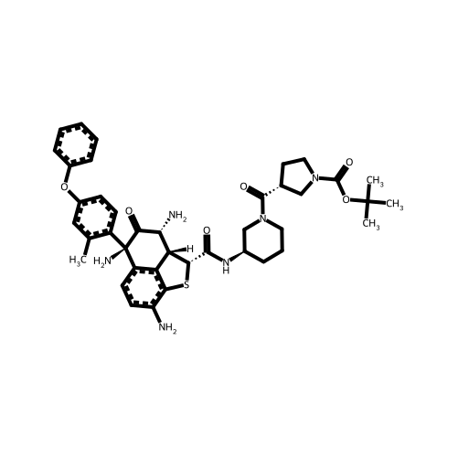 Cc1cc(Oc2ccccc2)ccc1[C@]1(N)C(=O)[C@H](N)[C@H]2c3c1ccc(N)c3S[C@H]2C(=O)N[C@@H]1CCCN(C(=O)[C@@H]2CCN(C(=O)OC(C)(C)C)C2)C1